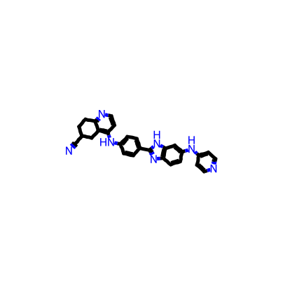 N#CC1CCc2nccc(Nc3ccc(-c4nc5ccc(Nc6ccncc6)cc5[nH]4)cc3)c2C1